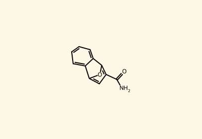 NC(=O)c1cc2oc1c1ccccc21